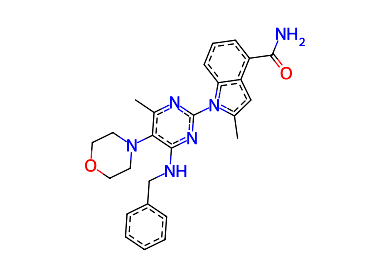 Cc1nc(-n2c(C)cc3c(C(N)=O)cccc32)nc(NCc2ccccc2)c1N1CCOCC1